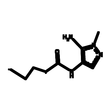 [CH2]CC[CH]C(=O)Nc1cnn(C)c1N